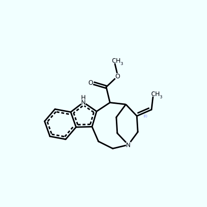 C/C=C1/CN2CCc3c([nH]c4ccccc34)C(C(=O)OC)C1CC2